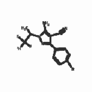 [2H]C(F)(F)C(C)n1nc(-c2ccc(Br)cc2)c(C#N)c1N